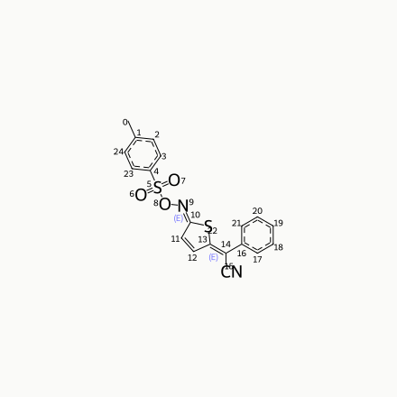 Cc1ccc(S(=O)(=O)O/N=C2C=C/C(=C(\C#N)c3ccccc3)S\2)cc1